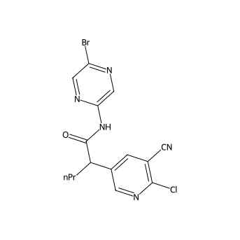 CCCC(C(=O)Nc1cnc(Br)cn1)c1cnc(Cl)c(C#N)c1